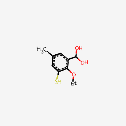 CCOc1c(S)cc(C)cc1C(O)O